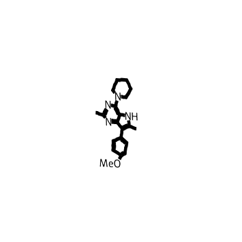 COc1ccc(-c2c(C)[nH]c3c(N4CCCCC4)nc(C)nc23)cc1